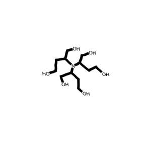 OCCC(CO)N(C(CO)CCO)C(CO)CCO